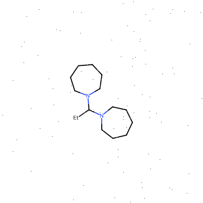 CC[C](N1CCCCCC1)N1CCCCCC1